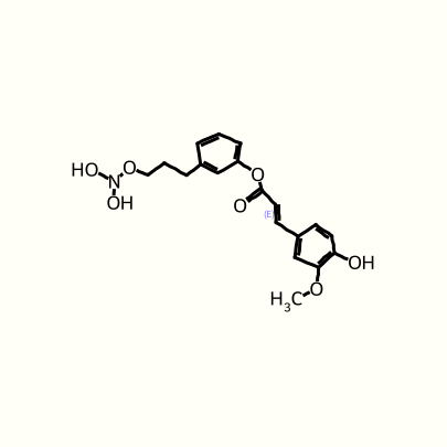 COc1cc(/C=C/C(=O)Oc2cccc(CCCON(O)O)c2)ccc1O